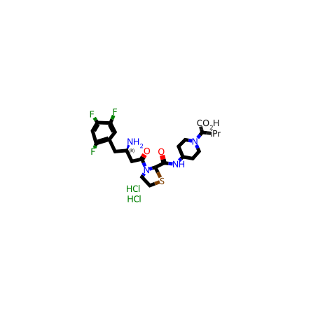 CC(C)C(C(=O)O)N1CCC(NC(=O)C2SCCN2C(=O)C[C@H](N)Cc2cc(F)c(F)cc2F)CC1.Cl.Cl